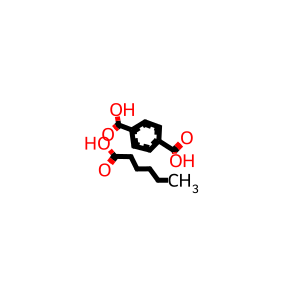 CCCCCC(=O)O.O=C(O)c1ccc(C(=O)O)cc1